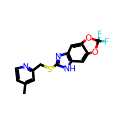 Cc1ccnc(CSc2nc3cc4c(cc3[nH]2)OC(F)(F)O4)c1